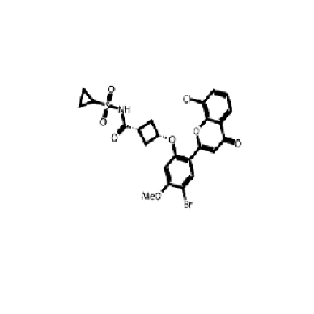 COc1cc(O[C@H]2C[C@@H](C(=O)NS(=O)(=O)C3CC3)C2)c(-c2cc(=O)c3cccc(Cl)c3o2)cc1Br